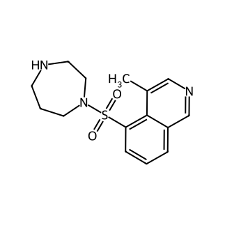 Cc1cncc2cccc(S(=O)(=O)N3CCCNCC3)c12